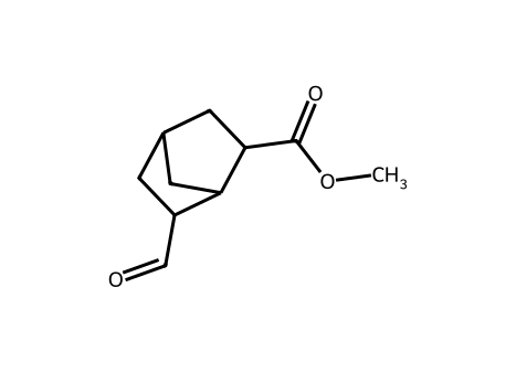 COC(=O)C1CC2CC(C=O)C1C2